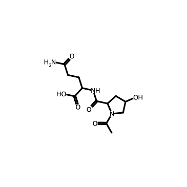 CC(=O)N1CC(O)CC1C(=O)NC(CCC(N)=O)C(=O)O